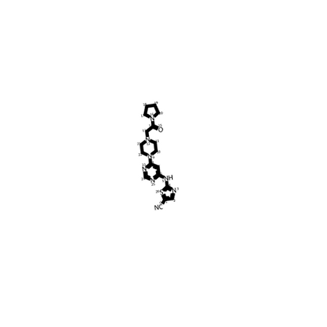 N#Cc1cnc(Nc2cc(N3CCN(CC(=O)N4CCCC4)CC3)ncn2)s1